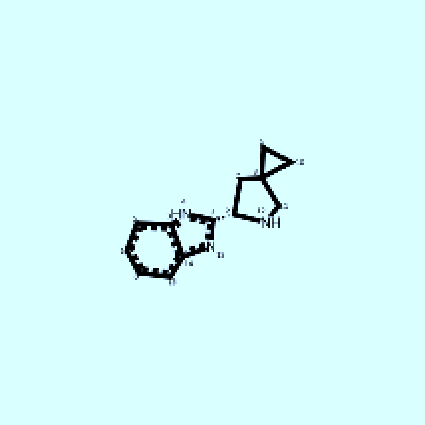 c1ccc2[nH]c([C@@H]3CC4(CC4)CN3)nc2c1